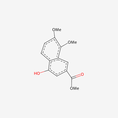 COC(=O)c1cc(O)c2ccc(OC)c(OC)c2c1